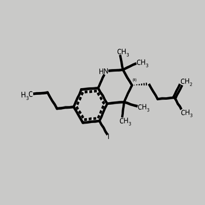 C=C(C)CC[C@H]1C(C)(C)Nc2cc(CCC)cc(I)c2C1(C)C